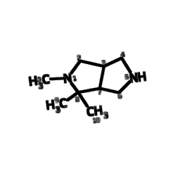 CN1CC2CNCC2C1(C)C